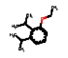 CCOc1cccc(C(C)C)c1C(C)C